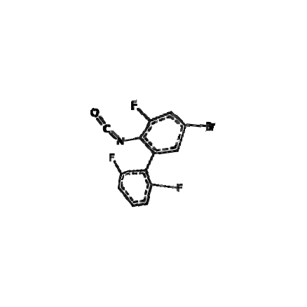 O=C=Nc1c(F)cc(Br)cc1-c1c(F)cccc1F